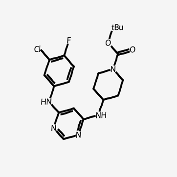 CC(C)(C)OC(=O)N1CCC(Nc2cc(Nc3ccc(F)c(Cl)c3)ncn2)CC1